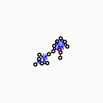 c1ccc(-c2ccc(-c3nc(-n4c5ccccc5c5ccc6c7ccccc7[nH]c6c54)nc(-n4c5ccccc5c5ccc6c7cc(-c8ccc(-c9nc(-c%10ccccc%10)nc(-n%10c%11ccccc%11c%11ccc%12c(c%13ccccc%13n%12-c%12ccccc%12)c%11%10)n9)cc8)ccc7n(-c7ccccc7)c6c54)n3)cc2)cc1